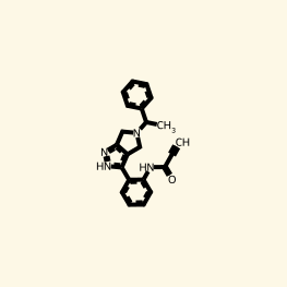 C#CC(=O)Nc1ccccc1-c1[nH]nc2c1CN(C(C)c1ccccc1)C2